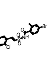 Cc1cc(Br)ccc1C(=O)NS(=O)(=O)C=Cc1ccccc1Cl